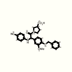 COc1cc(C(Nc2ccc(C#N)cc2)C(=O)N2CCC(C(=O)O)C2)ccc1OCc1ccccc1